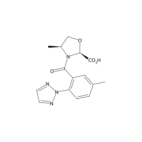 Cc1ccc(-n2nccn2)c(C(=O)N2[C@@H](C)CO[C@H]2C(=O)O)c1